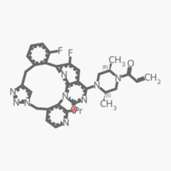 C=CC(=O)N1C[C@H](C)N(c2nc(=O)n3c4nc(c(F)cc24)-c2c(F)cccc2Cc2cn(nn2)Cc2ccnc(C(C)C)c2-3)C[C@H]1C